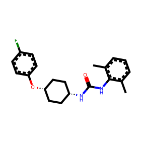 Cc1cccc(C)c1NC(=O)N[C@H]1CC[C@@H](Oc2ccc(F)cc2)CC1